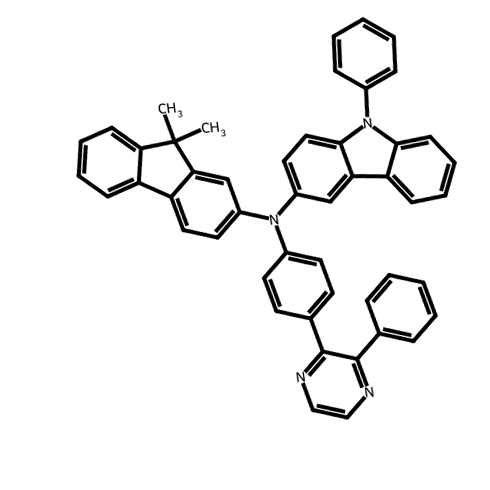 CC1(C)c2ccccc2-c2ccc(N(c3ccc(-c4nccnc4-c4ccccc4)cc3)c3ccc4c(c3)c3ccccc3n4-c3ccccc3)cc21